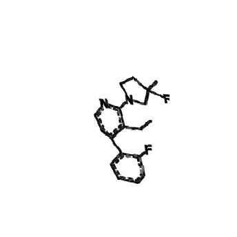 CCc1c(-c2ccccc2F)ccnc1N1CCC(C)(F)C1